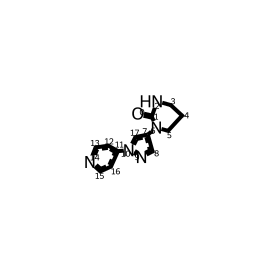 O=C1NCCCN1c1cnn(-c2ccncc2)c1